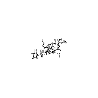 COC[C@@H]1[C@@H](O)[C@@H]2[C@H]3C=C[C@@H]4[C@@H](COC)C(=O)O[C@H]([C@H](O)COC)[C@H](C)/C=C(\C)[C@@]24O[C@H]3[C@@H]1OC(=O)c1cc(C)c[nH]1